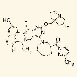 CCc1c(F)ccc2cc(O)cc(-c3ncc4c(N5CCCCCC(C(=O)n6ccc(C)n6)C5)nc(OC[C@@]56CCCN5C[C@H](F)C6)nc4c3F)c12